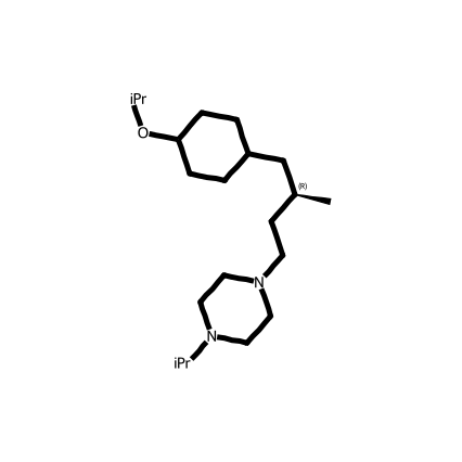 CC(C)OC1CCC(C[C@@H](C)CCN2CCN(C(C)C)CC2)CC1